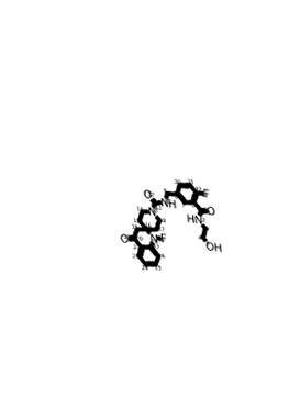 O=C(NCCO)c1cc(CNC(=O)N2CCC3(CC2)CC(=O)c2ccccc2N3F)ccc1F